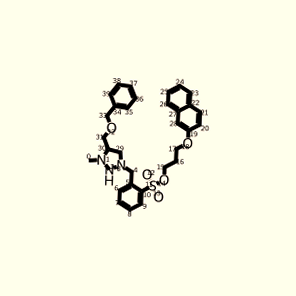 CN1NN(Cc2ccccc2S(=O)(=O)OCCCOc2ccc3ccccc3c2)CC1COCc1ccccc1